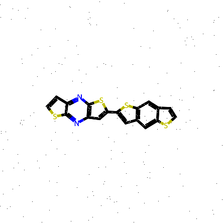 c1cc2cc3sc(-c4cc5nc6sccc6nc5s4)cc3cc2s1